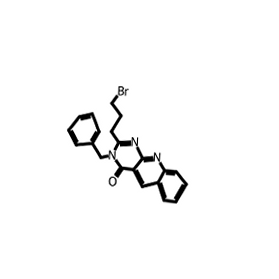 O=c1c2cc3ccccc3nc2nc(CCCBr)n1Cc1ccccc1